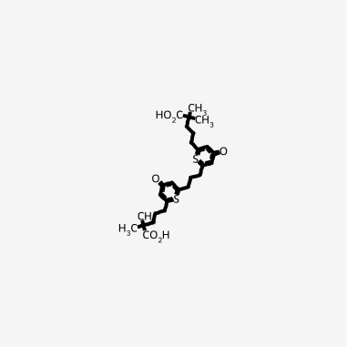 CC(C)(CCCc1cc(=O)cc(CCCc2cc(=O)cc(CCCC(C)(C)C(=O)O)s2)s1)C(=O)O